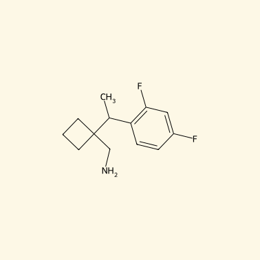 CC(c1ccc(F)cc1F)C1(CN)CCC1